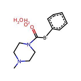 CN1CCN(C(=O)[B]c2ccccc2)CC1.O.O